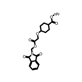 CCCOC(=O)C1CCC(OCC(=O)OCN2C(=O)c3ccccc3C2=O)CC1